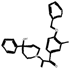 Cc1cc(C(=O)C(C)N2CCC(O)(c3ccccc3)CC2)ccc1OCc1ccccc1